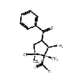 CCC(=O)[C@@]1(C)C(C)C(C(=O)c2ccccc2)C[N+]1(Cl)C(=O)O